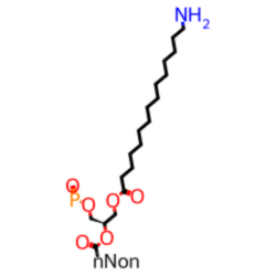 CCCCCCCCCC(=O)O[C@@H](COP=O)COC(=O)CCCCCCCCCCCCCCN